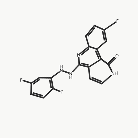 O=c1[nH]ccc2c(NNc3cc(F)ccc3F)nc3ccc(F)cc3c12